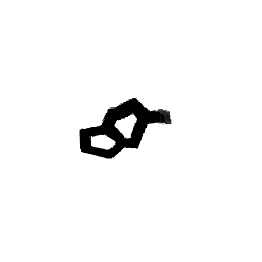 Sc1ccc2c(c1)CCC2